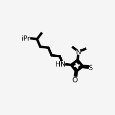 CC(C)C(C)CCCCNc1c(N(C)C)c(=S)c1=O